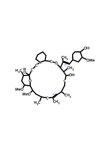 COC1CC(/C=C(\C)C2OCC3CCCCN3CCC3(O)OC(C(OC)CC(C)C/C(C)=C\C(C)CCC(O)C2C)C(OC)CC3C)CCC1O